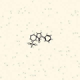 CS(=O)(=O)N1CCCC2(CCN(c3ccccc3)C2=O)C1